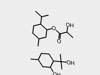 CC1CCC(C(C)(C)O)C(O)C1.CC1CCC(C(C)C)C(OC(=O)C(C)O)C1